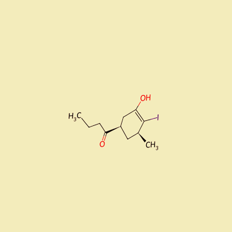 CCCC(=O)[C@H]1CC(O)=C(I)[C@@H](C)C1